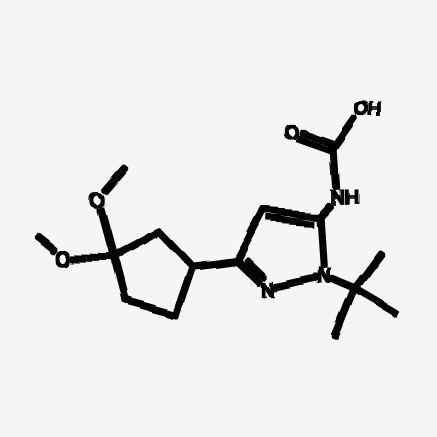 COC1(OC)CCC(c2cc(NC(=O)O)n(C(C)(C)C)n2)C1